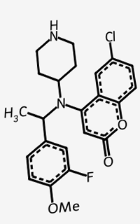 COc1ccc(C(C)N(c2cc(=O)oc3ccc(Cl)cc23)C2CCNCC2)cc1F